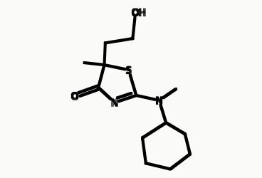 CN(C1=NC(=O)C(C)(CCO)S1)C1CCCCC1